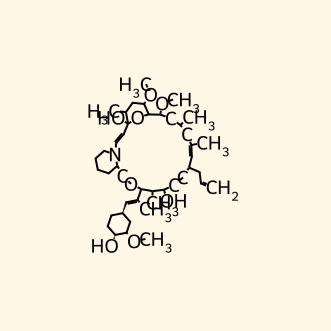 C=CCC1/C=C(/C)CC(C)CC(OC)C2OC(O)(/C=C/N3CCCCC3COC(/C(C)=C/[C@@H]3CC[C@@H](O)[C@H](OC)C3)C(C)C(O)CC1)C(C)CC2OC